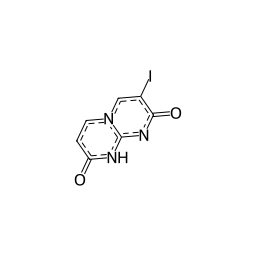 O=c1ccn2cc(I)c(=O)nc2[nH]1